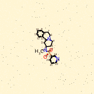 CN(C1CCN2CCc3ccccc3C2C1)S(=O)(=O)c1cccnc1